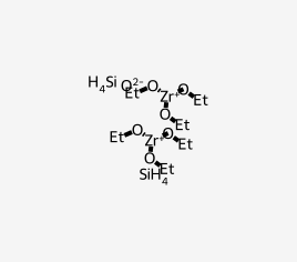 CC[O][Zr+]([O]CC)[O]CC.CC[O][Zr+]([O]CC)[O]CC.[O-2].[SiH4].[SiH4]